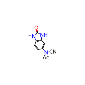 CC(=O)N(C#N)c1ccc2c(c1)[nH]c(=O)n2C